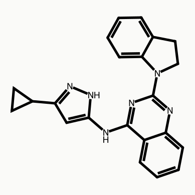 c1ccc2c(c1)CCN2c1nc(Nc2cc(C3CC3)n[nH]2)c2ccccc2n1